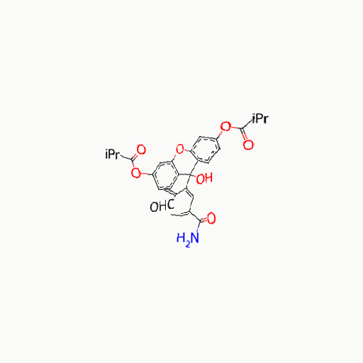 C=C(C=O)/C(=C\C(=C/C)C(N)=O)C1(O)c2ccc(OC(=O)C(C)C)cc2Oc2cc(OC(=O)C(C)C)ccc21